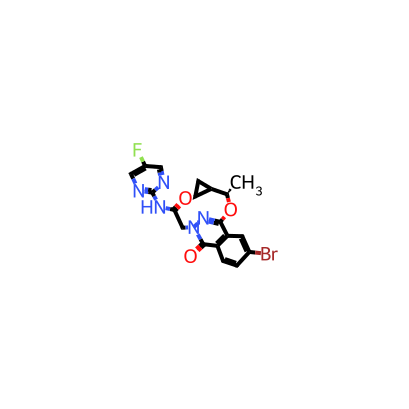 C[C@H](Oc1nn(CC(=O)Nc2ncc(F)cn2)c(=O)c2ccc(Br)cc12)C1CC1